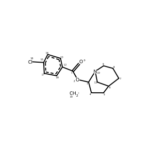 O=C(OC1CCC2CCCN1C2)c1ccc(Cl)cc1.[CH2]